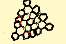 N#Cc1c(N2c3ccccc3-c3ccccc3-c3ccccc32)c(-c2ccccc2)c(N2c3ccccc3-c3ccccc3-c3ccccc32)c(-c2ccccc2)c1N1c2ccccc2-c2ccccc2-c2ccccc21